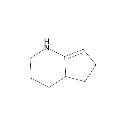 C1=C2NCCCC2CC1